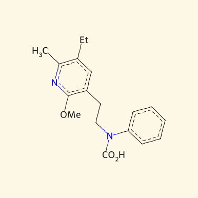 CCc1cc(CCN(C(=O)O)c2ccccc2)c(OC)nc1C